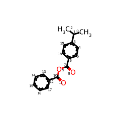 CC(C)c1ccc(C(=O)OC(=O)c2ccccc2)cc1